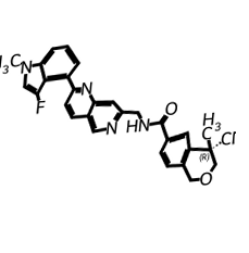 Cn1cc(F)c2c(-c3ccc4cnc(CNC(=O)c5ccc6c(c5)[C@](C)(C#N)COC6)cc4n3)cccc21